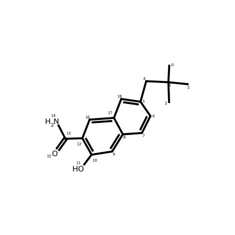 CC(C)(C)Cc1ccc2cc(O)c(C(N)=O)cc2c1